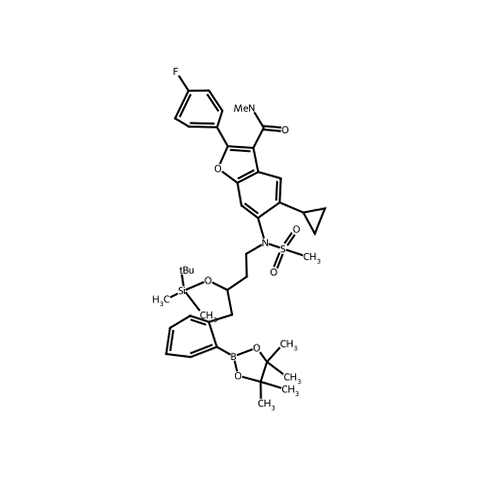 CNC(=O)c1c(-c2ccc(F)cc2)oc2cc(N(CCC(Cc3ccccc3B3OC(C)(C)C(C)(C)O3)O[Si](C)(C)C(C)(C)C)S(C)(=O)=O)c(C3CC3)cc12